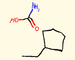 CCC1CCCC1.NC(=O)O